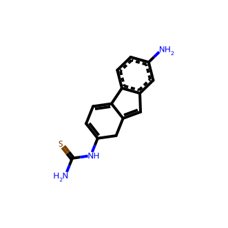 NC(=S)NC1=CC=C2C(=Cc3cc(N)ccc32)C1